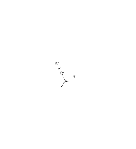 CC(C)[O-].[F-].[K+].[K+]